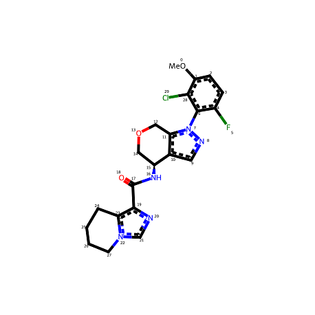 COc1ccc(F)c(-n2ncc3c2COC[C@@H]3NC(=O)c2ncn3c2CCCC3)c1Cl